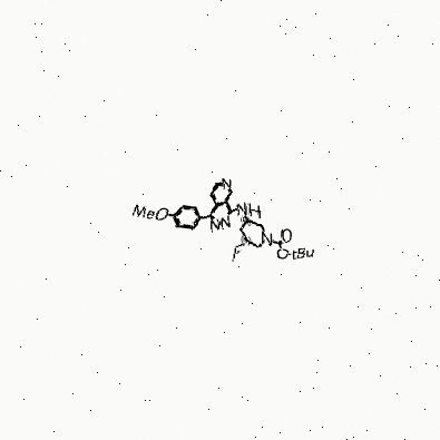 COc1ccc(-c2nnc(N[C@@H]3C[C@@H](F)CN(C(=O)OC(C)(C)C)C3)c3cnccc23)cc1